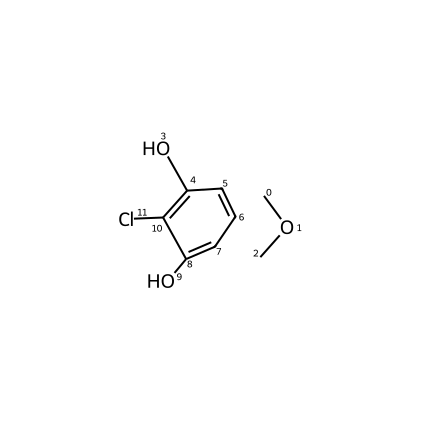 COC.Oc1cccc(O)c1Cl